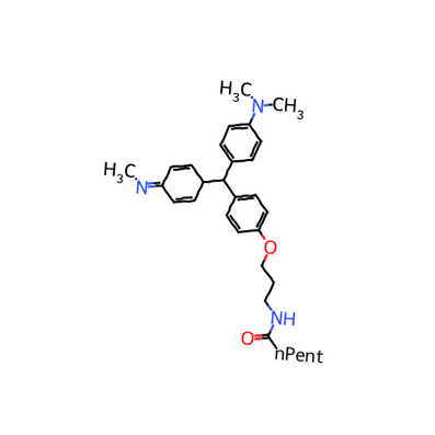 CCCCCC(=O)NCCCOc1ccc(C(c2ccc(N(C)C)cc2)C2C=CC(=NC)C=C2)cc1